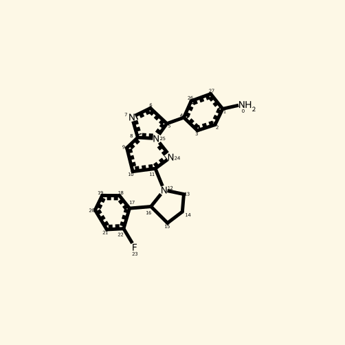 Nc1ccc(-c2cnc3ccc(N4CCCC4c4ccccc4F)nn23)cc1